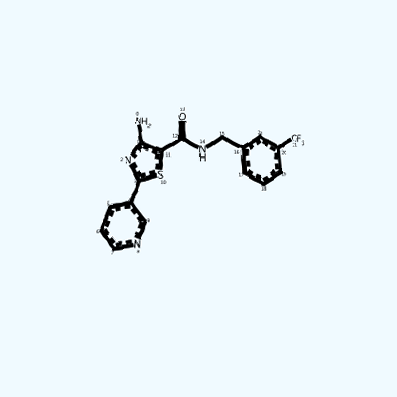 Nc1nc(-c2cccnc2)sc1C(=O)NCc1cccc(C(F)(F)F)c1